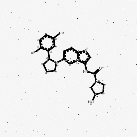 O=C(Nc1cnc2ccc(N3CCCC3c3cc(F)ccc3F)cn12)N1CCC(O)C1